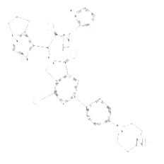 O=C(Nc1nccs1)C(c1ncn2c1CCC2)N1Cc2c(Cl)cc(-c3ccc(N4CCNCC4)cc3)cc2C1=O